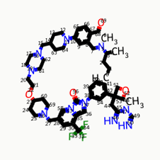 CCCC(C)N(C)Cc1cc(N2CCC(CN3CCN(CCOC4CCN(Cc5cc(C(F)(F)F)c6cn(-c7cccc(C8(CC(=N)N(C)C=N)COC8)c7)c(=O)n6c5)CC4)CC3)CC2)ccc1C=O